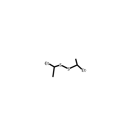 C[CH]C(C)SSC(C)[CH]C